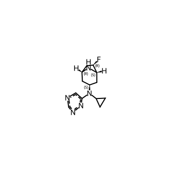 F[C@@H]1C[C@H]2C[C@H](N(c3cncnn3)C3CC3)C[C@@H]1N2